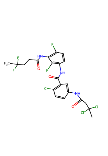 CC(Cl)(Cl)CC(=O)Nc1ccc(Cl)c(C(=O)Nc2ccc(F)c(NC(=O)CCC(F)(F)C(F)(F)F)c2F)c1